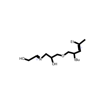 CC/C(C)=C\C(COCC(O)C/N=C/CO)C(C)(C)C